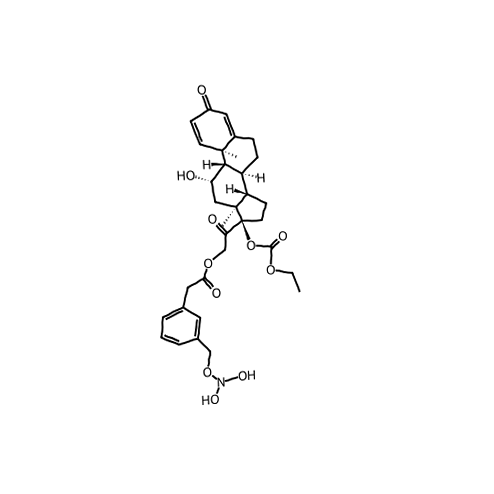 CCOC(=O)O[C@]1(C(=O)COC(=O)Cc2cccc(CON(O)O)c2)CC[C@H]2[C@@H]3CCC4=CC(=O)C=C[C@]4(C)[C@H]3[C@@H](O)C[C@@]21C